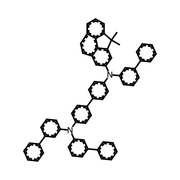 CC1(C)c2cccc3ccc4cc(N(c5ccc(-c6ccc(N(c7cccc(-c8ccccc8)c7)c7cccc(-c8ccccc8)c7)cc6)cc5)c5cccc(-c6ccccc6)c5)cc1c4c23